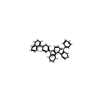 C1=CC2=C(CC1)N(c1ccccc1)C1C=Cc3c(c4c(n3C3=CCC(C5=CCCc6ccccc65)C=C3)CCCC4)C21